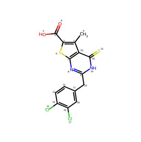 Cc1c(C(=O)O)sc2nc(Cc3ccc(Cl)c(Cl)c3)[nH]c(=S)c12